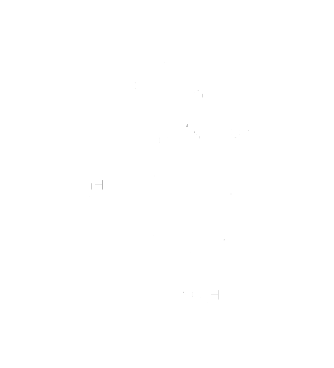 C=C(C)OS(=O)(=O)c1ccc(S(=O)(=O)O)cc1.[LiH]